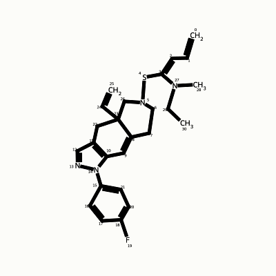 C=C/C=C(/SN1CCC2=Cc3c(cnn3-c3ccc(F)cc3)CC2(C=C)C1)N(C)CC